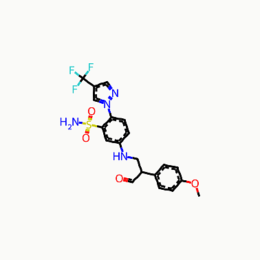 COc1ccc(C(C=O)CNc2ccc(-n3cc(C(F)(F)F)cn3)c(S(N)(=O)=O)c2)cc1